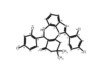 CC1(C)CC(=O)C2=C(C1)n1c(-c3ccc(Cl)cc3Cl)nc3cccc(c31)NC2c1ccc(Cl)cc1Cl